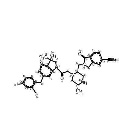 C[C@@H]1CN(CC(=O)N2CC(C)(C)c3nnc(Cc4ccc(F)cc4F)cc32)[C@@H](CN2Cc3cc(C#N)ccc3C2=O)CN1